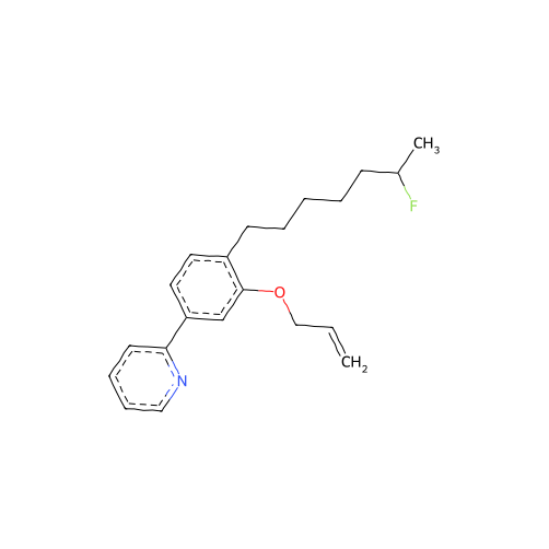 C=CCOc1cc(-c2ccccn2)ccc1CCCCCC(C)F